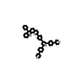 c1ccc(-c2c3ccccc3nc3c2ccc2ccc(-c4ccc(-c5cc(-c6ccc(-c7ccncc7)cc6)nc(-c6ccc(-c7ccncc7)cc6)c5)cc4)nc23)cc1